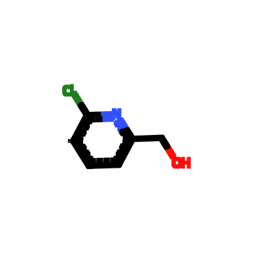 OCc1cc[c]c(Cl)n1